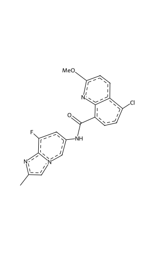 COc1ccc2c(Cl)ccc(C(=O)Nc3cc(F)c4nc(C)cn4c3)c2n1